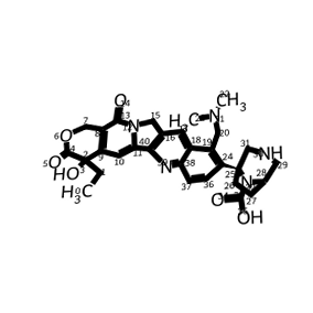 CCC1(O)C(=O)OCc2c1cc1n(c2=O)Cc2cc3c(CN(C)C)c([C@@]45CCC(CNC4)N5C(=O)O)ccc3nc2-1